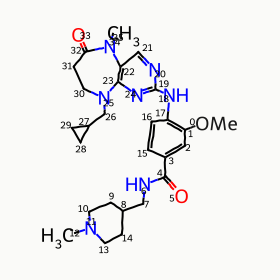 COc1cc(C(=O)NCC2CCN(C)CC2)ccc1Nc1ncc2c(n1)N(CC1CC1)CCC(=O)N2C